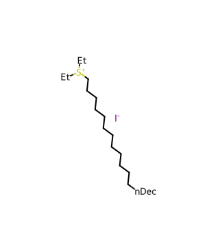 CCCCCCCCCCCCCCCCCCCCCC[S+](CC)CC.[I-]